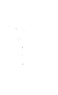 CC(C)C[C@H](N)C(=O)O.C[C@H](N)C(=O)O.N[C@@H](Cc1ccc(O)cc1)C(=O)O